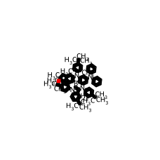 Cc1cc(C(C)(C)C)cc(C)c1N1c2cc3c(cc2B2c4c1cc(N(c1ccccc1)c1ccccc1)cc4N(c1ccc(C(C)(C)C)cc1)c1c2n(-c2ccc(C(C)(C)C)cc2)c2ccc(C(C)(C)C)cc12)CC(C)(C)C3